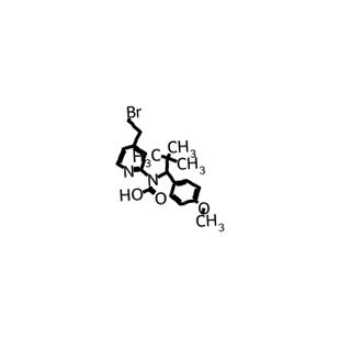 COc1ccc(C(N(C(=O)O)c2cc(CCBr)ccn2)C(C)(C)C)cc1